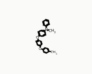 Cc1ccc(Oc2ccc(Oc3ccc(N(C)c4ccccc4)cc3)cc2)cc1